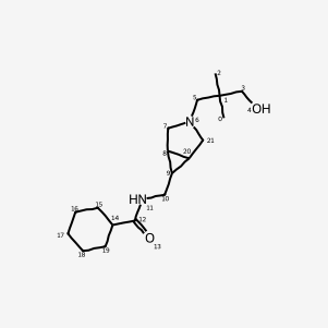 CC(C)(CO)CN1CC2C(CNC(=O)C3CCCCC3)C2C1